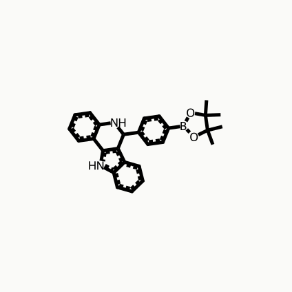 CC1(C)OB(c2ccc(C3Nc4ccccc4-c4[nH]c5ccccc5c43)cc2)OC1(C)C